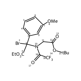 CCOC(=O)C(Br)(c1cccc(OC)c1)N(CC(=O)OC(C)(C)C)C(=O)C(F)(F)F